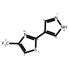 FC(F)(F)c1csc(-c2cn[nH]c2)n1